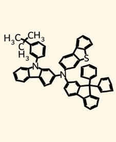 CC(C)(C)c1cccc(-n2c3ccccc3c3ccc(N(c4ccc5c(c4)C(c4ccccc4)(c4ccccc4)c4ccccc4-5)c4ccc5c(c4)sc4ccccc45)cc32)c1